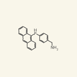 NCc1ccc(Pc2c3ccccc3cc3ccccc23)cc1